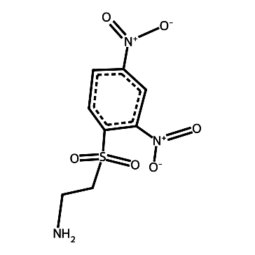 NCCS(=O)(=O)c1ccc([N+](=O)[O-])cc1[N+](=O)[O-]